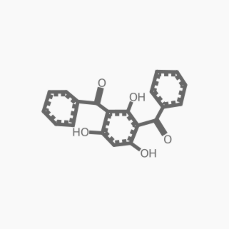 O=C(c1ccccc1)c1c(O)cc(O)c(C(=O)c2ccccc2)c1O